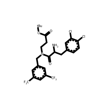 CC(C)(C)OC(=O)CCN(Cc1cc(C(F)(F)F)cc(C(F)(F)F)c1)C(=O)C(N)Cc1ccc(Cl)c(Cl)c1